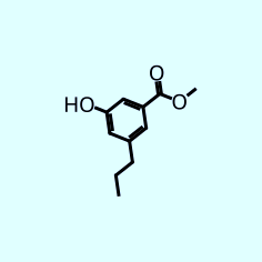 CCCc1cc(O)cc(C(=O)OC)c1